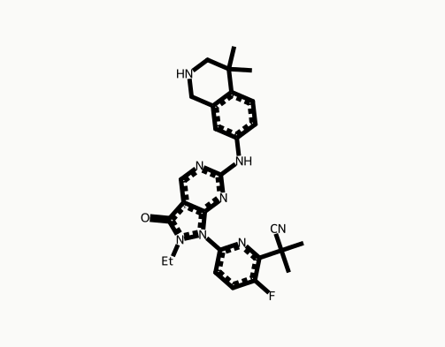 CCn1c(=O)c2cnc(Nc3ccc4c(c3)CNCC4(C)C)nc2n1-c1ccc(F)c(C(C)(C)C#N)n1